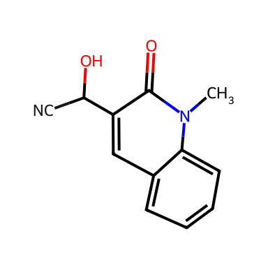 Cn1c(=O)c(C(O)C#N)cc2ccccc21